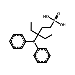 CCC(CC)(CCP(=O)(O)O)P(c1ccccc1)c1ccccc1